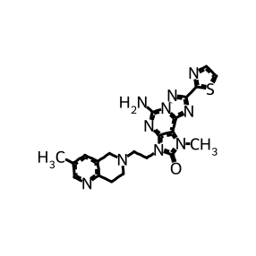 Cc1cnc2c(c1)CN(CCn1c(=O)n(C)c3c1nc(N)n1nc(-c4nccs4)nc31)CC2